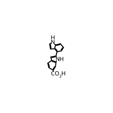 O=C(O)c1ccc2cc(-c3cccc4[nH]ccc34)[nH]c2c1